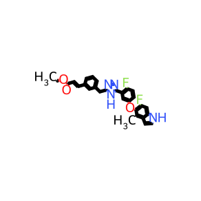 CCOC(=O)C=Cc1cccc(Cc2nnc(-c3cc(Oc4c(F)cc5[nH]ccc5c4C)ccc3F)[nH]2)c1